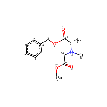 CC[C@@H](C(=O)OCc1ccccc1)N(CC)CC(=O)OC(C)(C)C